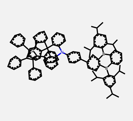 Cc1ccccc1C1(c2ccccc2[SiH]2C(c3ccccc3)=C(c3ccccc3)C(c3ccccc3)=C2c2ccccc2)c2ccccc2N(c2ccc(-c3ccc4c(c3)B(c3c(C(C)C)cc(C(C)C)cc3C(C)C)c3ccccc3B4c3c(C(C)C)cc(C(C)C)cc3C(C)C)cc2)c2ccccc21